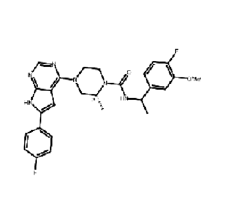 COc1cc(C(C)NC(=O)N2CCN(c3ncnc4[nH]c(-c5ccc(F)cc5)cc34)C[C@H]2C)ccc1F